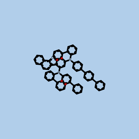 c1ccc(-c2ccc(-c3ccc(N(c4cc(N(c5ccc(-c6ccccc6)cc5)c5ccccc5-c5ccccc5)c5c(c4)oc4c6ccccc6ccc45)c4ccccc4-c4ccccc4)cc3)cc2)cc1